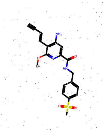 C#CC=Cc1c(N)cc(C(=O)NCc2ccc(S(C)(=O)=O)cc2)nc1OCC